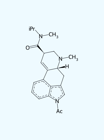 CC(=O)n1cc2c3c(cccc31)C1=C[C@@H](C(=O)N(C)C(C)C)CN(C)[C@@H]1C2